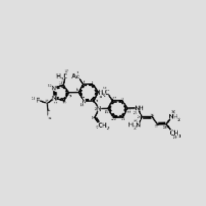 C=CN(c1ccc(C(C)=O)c(-c2cn(C(F)F)nc2C)n1)c1ccc(N/C(N)=C/C=C(/C)N)cc1C